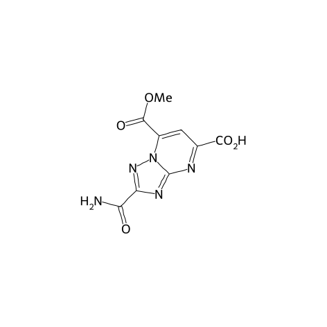 COC(=O)c1cc(C(=O)O)nc2nc(C(N)=O)nn12